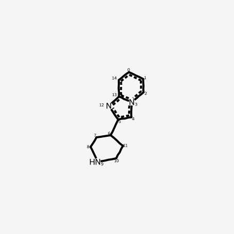 c1ccn2cc(C3CCNCC3)nc2c1